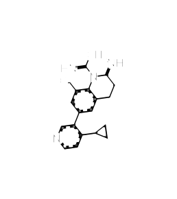 CC(=N)N1C(=N)CCc2cc(-c3cnccc3C3CC3)cc(Cl)c21